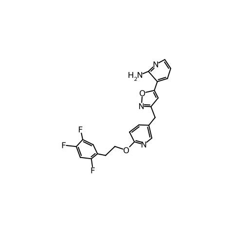 Nc1ncccc1-c1cc(Cc2ccc(OCCc3cc(F)c(F)cc3F)nc2)no1